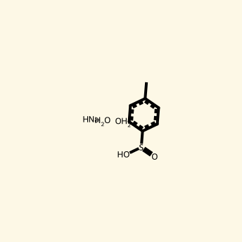 Cc1ccc(S(=O)O)cc1.O.O.[NaH]